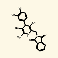 CC1=C(C#N)C(c2ccc(O)c(Cl)c2)C(C#N)=C(CN2C(=O)c3ccccc3C2=O)N1